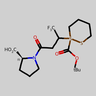 CC(C)(C)OC(=O)S1(C(CC(=O)N2CCC[C@H]2C(=O)O)C(F)(F)F)CCCCS1